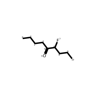 CCCCC(=O)C(F)CCC